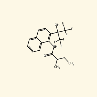 CCC(C)C(=O)Nc1c(C(O)(C(F)(F)F)C(F)(F)F)ccc2ccccc12